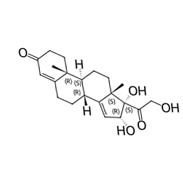 C[C@]12CCC(=O)C=C1CC[C@H]1C3=C[C@@H](O)[C@](O)(C(=O)CO)[C@@]3(C)CC[C@@H]12